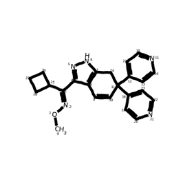 CON=C(c1n[nH]c2c1C=CC(c1ccncc1)(c1ccncc1)C2)C1CCC1